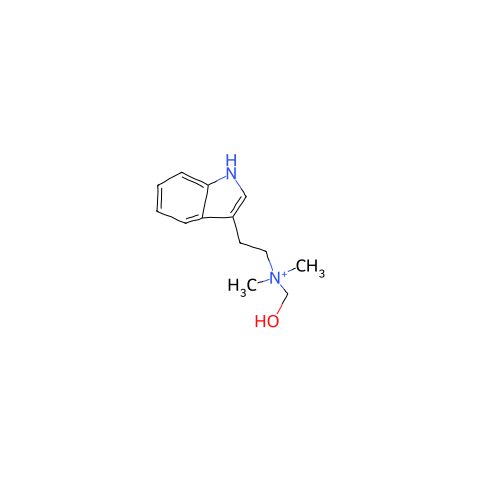 C[N+](C)(CO)CCc1c[nH]c2ccccc12